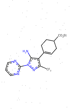 CCOC(=O)C1CC=C(c2c(C(F)(F)F)nn(-c3ncccn3)c2N)CC1